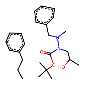 CC(O)CN(C(=O)OC(C)(C)C)N(C)Cc1ccccc1.CCCc1ccccc1